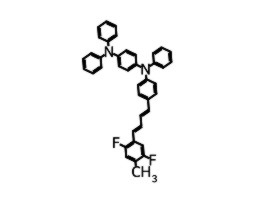 Cc1cc(F)c(/C=C/C=C/c2ccc(N(c3ccccc3)c3ccc(N(c4ccccc4)c4ccccc4)cc3)cc2)cc1F